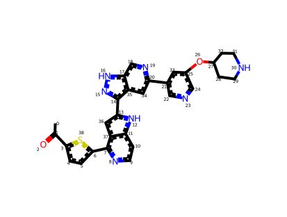 CC(=O)c1ccc(-c2nccc3[nH]c(-c4n[nH]c5cnc(-c6cncc(OC7CCNCC7)c6)cc45)cc23)s1